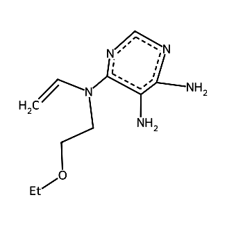 C=CN(CCOCC)c1ncnc(N)c1N